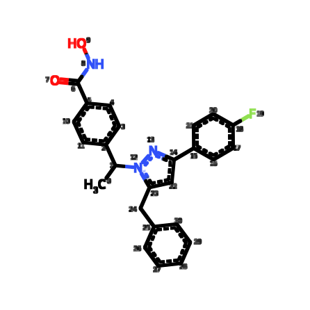 CC(c1ccc(C(=O)NO)cc1)n1nc(-c2ccc(F)cc2)cc1Cc1ccccc1